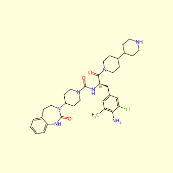 Nc1c(Cl)cc(C[C@@H](NC(=O)N2CCC(N3CCc4ccccc4NC3=O)CC2)C(=O)N2CCC(C3CCNCC3)CC2)cc1C(F)(F)F